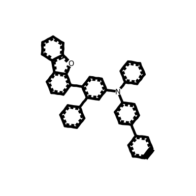 c1ccc(-c2ccc(N(c3ccccc3)c3ccc(-c4cccc5c4oc4ccccc45)c(-c4ccccc4)c3)cc2)cc#1